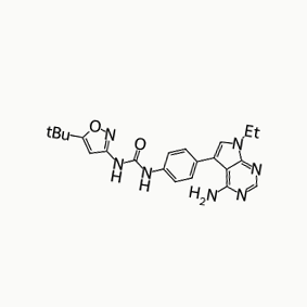 CCn1cc(-c2ccc(NC(=O)Nc3cc(C(C)(C)C)on3)cc2)c2c(N)ncnc21